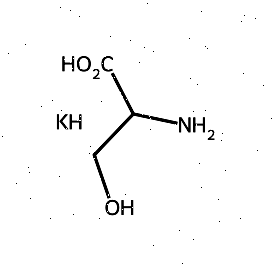 NC(CO)C(=O)O.[KH]